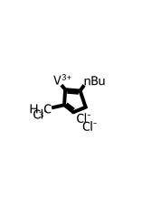 CCCCC1=[C]([V+3])C(C)=CC1.[Cl-].[Cl-].[Cl-]